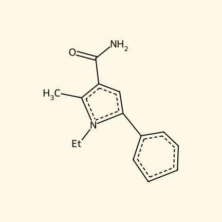 CCn1c(-c2ccccc2)cc(C(N)=O)c1C